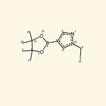 CC1(C)OB(c2cnn(CI)c2)OC1(C)C